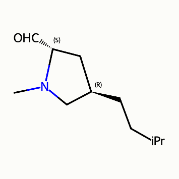 CC(C)CC[C@@H]1C[C@@H](C=O)N(C)C1